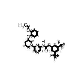 CCOc1ccccc1O[C@@H]1CCCN(c2cncc(NC(=O)Cc3cc(C(F)(F)F)cc(C(F)(F)F)c3)n2)C1